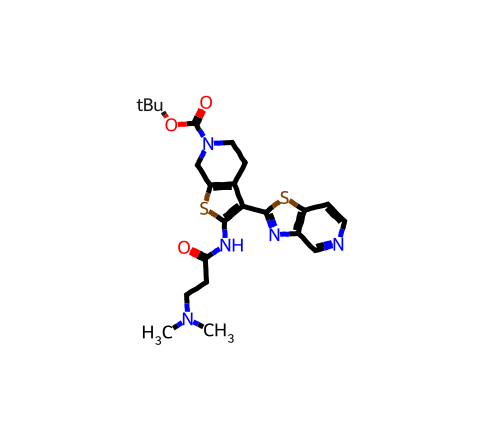 CN(C)CCC(=O)Nc1sc2c(c1-c1nc3cnccc3s1)CCN(C(=O)OC(C)(C)C)C2